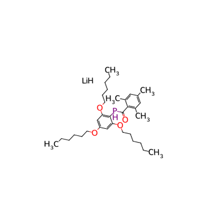 CCCCCCOc1cc(OCCCCCC)c(PC(=O)c2c(C)cc(C)cc2C)c(OCCCCCC)c1.[LiH]